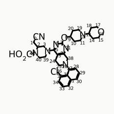 N#CCC1CN(c2nc(OC3CCN(C4CCOCC4)CC3)nc3c2CCN(c2cccc4cccc(Cl)c24)C3)CCN1C(=O)O